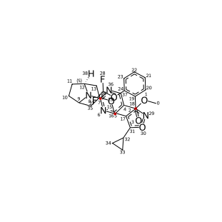 COC(=O)c1cnc(N2C3CC[C@H]2CC(OCc2c(-c4ccccc4OC(F)F)noc2C2CC2)C3)nc1